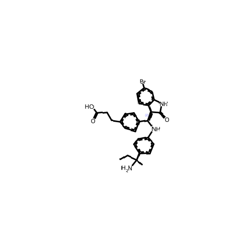 CCC(C)(N)c1ccc(N/C(=C2\C(=O)Nc3cc(Br)ccc32)c2ccc(CCC(=O)O)cc2)cc1